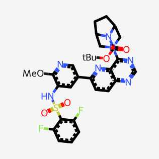 COc1ncc(-c2ccc3ncnc(N4CC5CCC(C4)N5C(=O)OC(C)(C)C)c3n2)cc1NS(=O)(=O)c1c(F)cccc1F